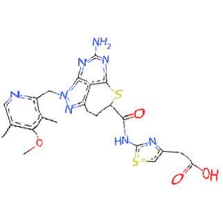 COc1c(C)cnc(Cn2nc3c4c(nc(N)nc42)SC(C(=O)Nc2nc(CC(=O)O)cs2)C3)c1C